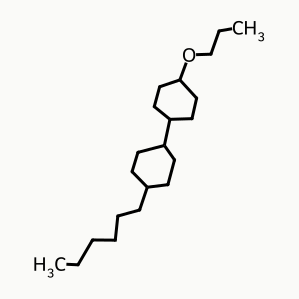 CCCCCCC1CCC(C2CCC(OCCC)CC2)CC1